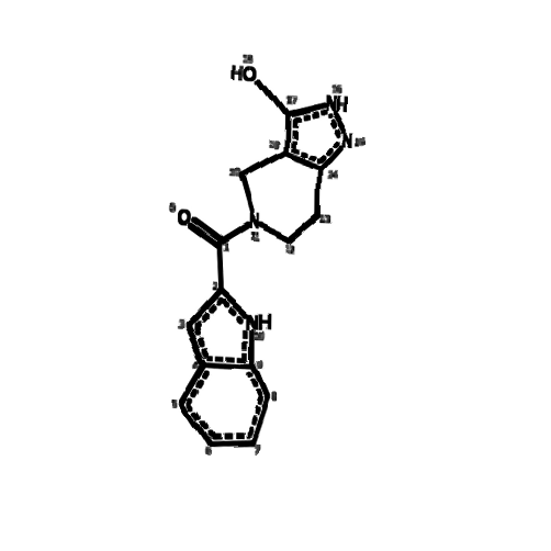 O=C(c1cc2ccccc2[nH]1)N1CCc2n[nH]c(O)c2C1